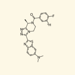 [2H]c1cc(C(=O)N2CCn3c(-c4nc5ccc(N(C)C)cc5s4)nnc3[C@H]2C)ccc1F